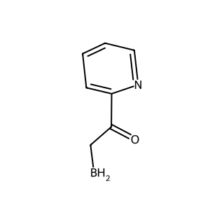 BCC(=O)c1ccccn1